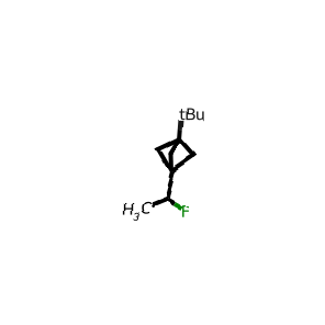 CC(F)C12CC(C(C)(C)C)(C1)C2